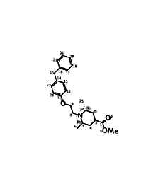 COC(=O)C1C[C@@H](C)N(CCOc2ccc(Cc3ccccc3)cc2)[C@H](C)C1